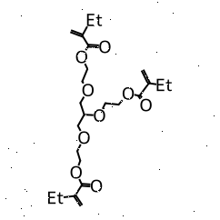 C=C(CC)C(=O)OCCOCC(COCCOC(=O)C(=C)CC)OCCOC(=O)C(=C)CC